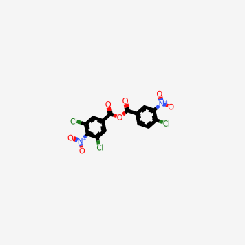 O=C(OC(=O)c1ccc(Cl)c([N+](=O)[O-])c1)c1cc(Cl)c([N+](=O)[O-])c(Cl)c1